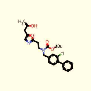 C=C(O)Cc1cnc(CCN(Cc2ccc(-c3ccccc3)c(Cl)c2)C(=O)OC(C)(C)C)o1